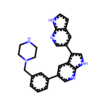 c1cc(CN2CCNCC2)cc(-c2cnc3[nH]cc(-c4cnc5[nH]ccc5c4)c3c2)c1